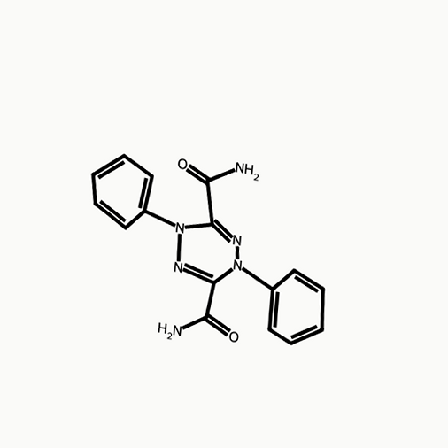 NC(=O)C1=NN(c2ccccc2)C(C(N)=O)=NN1c1ccccc1